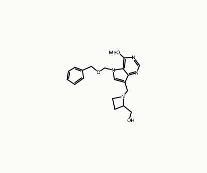 COc1ncnc2c(CN3CCC3CO)cn(COCc3ccccc3)c12